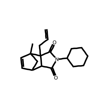 C=CCC12C(=O)N(C3CCCCC3)C(=O)C1C1C=CC2(C)C1